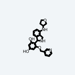 Oc1cc(O)c(C2NCc3c(NC4CCOC4)cccc32)c(OCc2cccnc2)c1